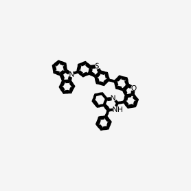 C1=CC2=C(c3ccccc3)NC(c3cccc4oc5ccc(-c6ccc7c(c6)sc6ccc(-n8c9ccccc9c9ccccc98)cc67)cc5c34)N=C2CC1